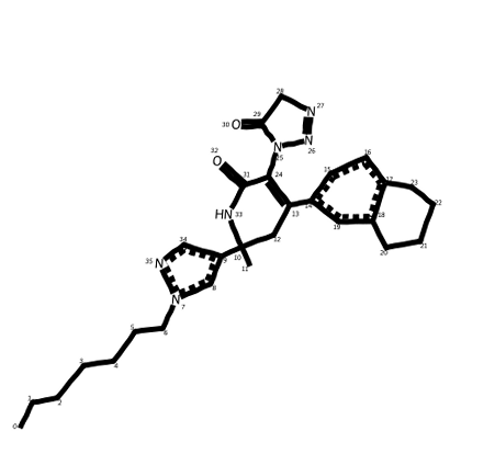 CCCCCCCn1cc(C2(C)CC(c3ccc4c(c3)CCCC4)=C(N3N=NCC3=O)C(=O)N2)cn1